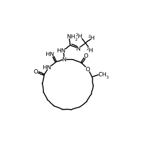 [2H]C([2H])([2H])N=C(N)NN1CC(=O)OC(C)CCCCCCCCCCC(=O)NC1=N